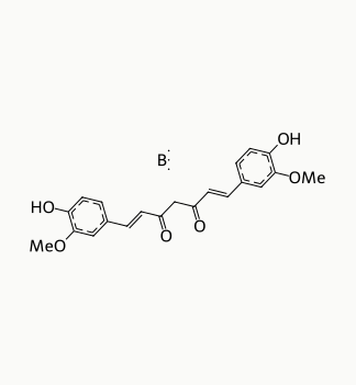 COc1cc(C=CC(=O)CC(=O)C=Cc2ccc(O)c(OC)c2)ccc1O.[B]